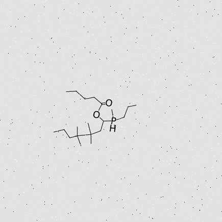 CCCCC(=O)OC(CC(C)(C)C(C)(C)CCC)[PH](C)(C)CCC